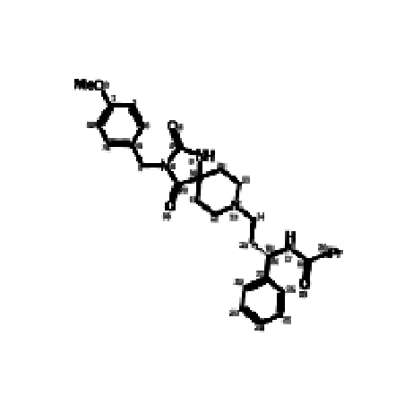 COc1ccc(CN2C(=O)NC3(CCN(CC[C@H](NC(=O)C(C)C)c4ccccc4)CC3)C2=O)cc1